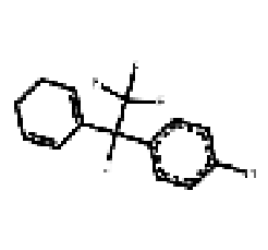 FC(F)(F)C(Cl)(C1=CC[CH]C=C1)c1ccc(Cl)cc1